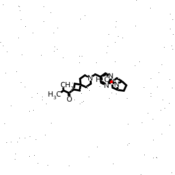 CC(C)C(=O)C1CC2(CCN(Cc3cnc(N4C5CCC4CN(C)C5)nc3)CC2)C1